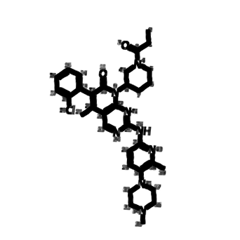 CCC(=O)N1CCCC(n2c(=O)c(-c3ccccc3Cl)c(C)c3cnc(Nc4ccc(N5CCN(C)CC5)c(C)n4)nc32)C1